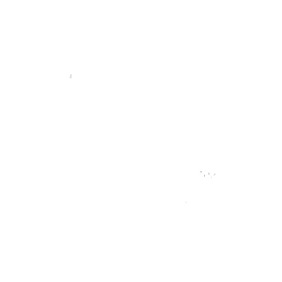 CNC(C)Cc1cccc(SCC=O)c1